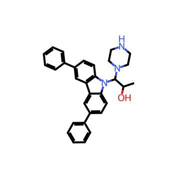 CC(O)C(N1CCNCC1)n1c2ccc(-c3ccccc3)cc2c2cc(-c3ccccc3)ccc21